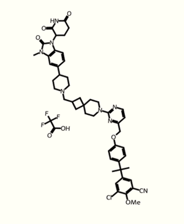 COc1c(Cl)cc(C(C)(C)c2ccc(OCc3ccnc(N4CCC5(CC4)CC(CN4CCC(c6ccc7c(c6)n(C)c(=O)n7C6CCC(=O)NC6=O)CC4)C5)n3)cc2)cc1C#N.O=C(O)C(F)(F)F